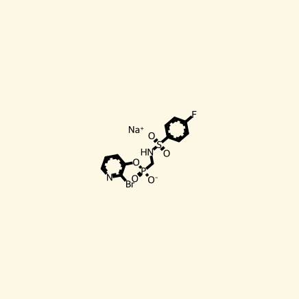 O=P([O-])(CNS(=O)(=O)c1ccc(F)cc1)Oc1cccnc1Br.[Na+]